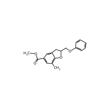 COC(=O)c1cc(C)c2c(c1)CC(COc1ccccc1)O2